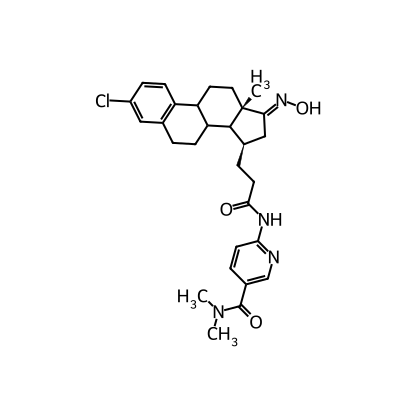 CN(C)C(=O)c1ccc(NC(=O)CC[C@@H]2C/C(=N\O)[C@@]3(C)CCC4c5ccc(Cl)cc5CCC4C23)nc1